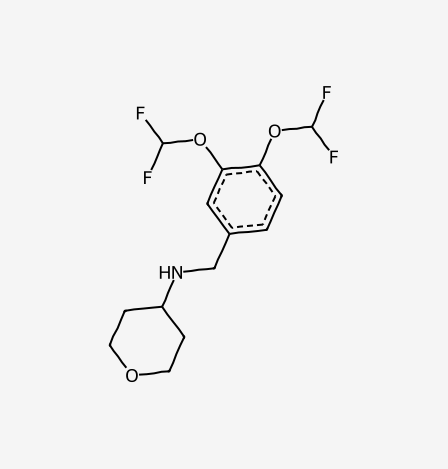 FC(F)Oc1ccc(CNC2CCOCC2)cc1OC(F)F